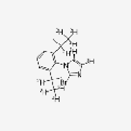 [2H]c1nc(Br)n(-c2c(C([2H])(C)C([2H])([2H])[2H])cccc2C([2H])(C)C([2H])([2H])[2H])c1[2H]